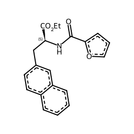 CCOC(=O)[C@H](Cc1ccc2ccccc2c1)NC(=O)c1ccco1